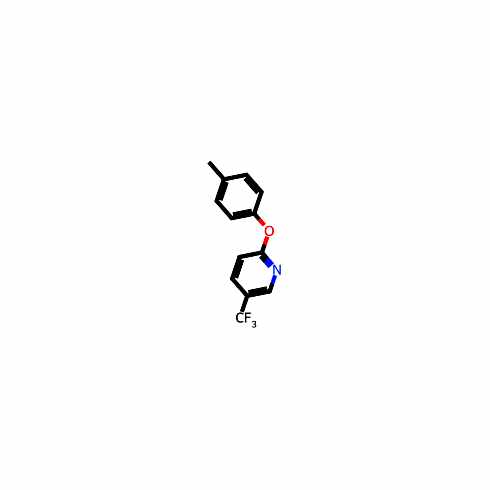 Cc1ccc(Oc2ccc(C(F)(F)F)cn2)cc1